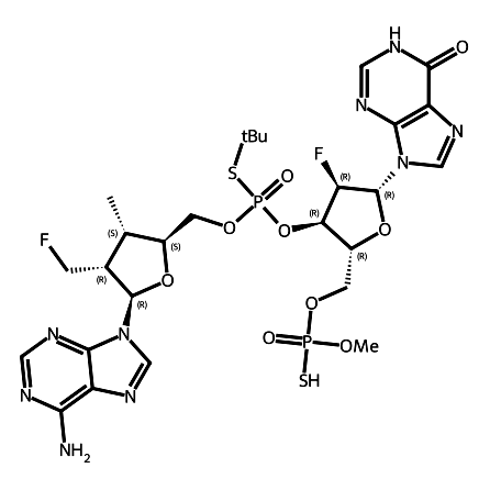 COP(=O)(S)OC[C@H]1O[C@@H](n2cnc3c(=O)[nH]cnc32)[C@H](F)[C@@H]1OP(=O)(OC[C@H]1O[C@@H](n2cnc3c(N)ncnc32)[C@H](CF)[C@@H]1C)SC(C)(C)C